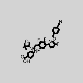 CC1(C)COC[C@H]1n1c(Cc2c(F)cc(-c3ccc(F)c(OCc4ccc(C#N)cc4)n3)c(F)c2F)nc2ccc(C(=O)O)cc21